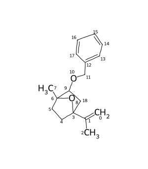 C=C(C)C12CCC(C)(O1)C(OCc1ccccc1)C2